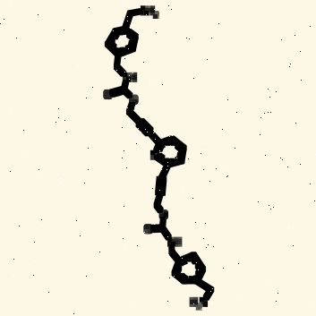 NCc1ccc(CNC(=O)OCC#Cc2cccc(C#CCOC(=O)NCc3ccc(CN)cc3)n2)cc1